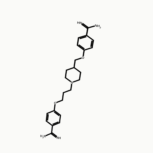 N=C(N)c1ccc(OCCCN2CCC(COc3ccc(C(=N)N)cc3)CC2)cc1